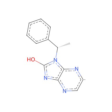 C[C@@H](c1ccccc1)n1c(O)nc2nc[c]nc21